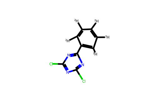 [2H]c1c([2H])c([2H])c(-c2nc(Cl)nc(Cl)n2)c([2H])c1[2H]